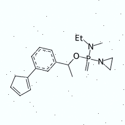 C=P(OC(C)c1cccc(C2=CC=CC2)c1)(N(C)CC)N1CC1